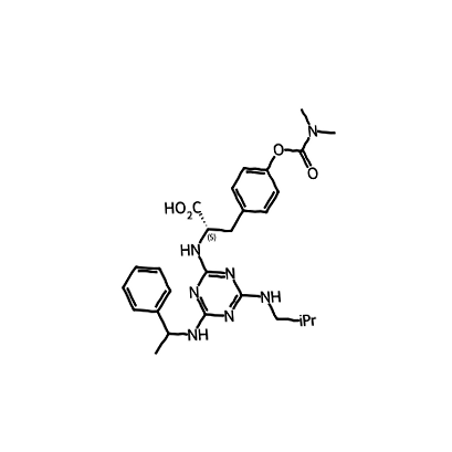 CC(C)CNc1nc(NC(C)c2ccccc2)nc(N[C@@H](Cc2ccc(OC(=O)N(C)C)cc2)C(=O)O)n1